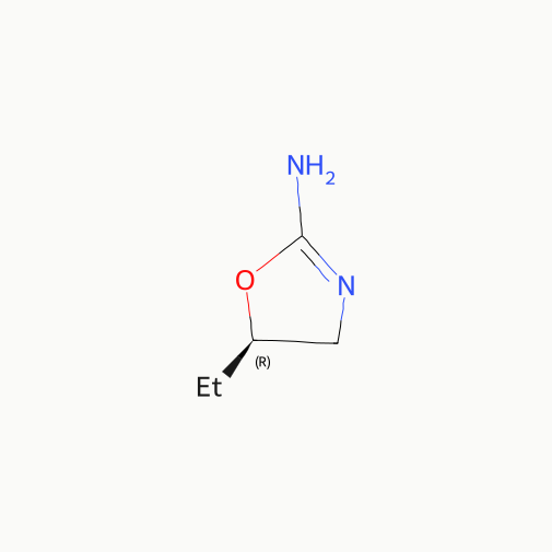 CC[C@@H]1CN=C(N)O1